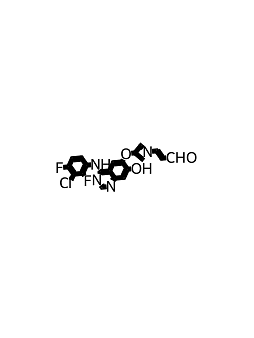 O=CC=CN1CC(Oc2cc3c(Nc4ccc(F)c(Cl)c4F)ncnc3cc2O)C1